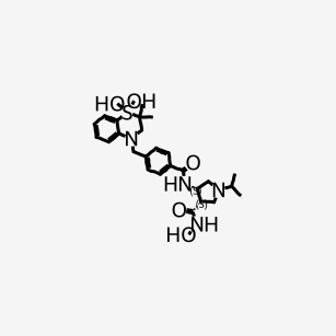 CC(C)N1C[C@H](C(=O)NO)[C@H](NC(=O)c2ccc(CN3CC(C)(C)S(O)(O)c4ccccc43)cc2)C1